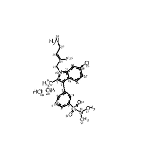 Cc1c(-c2cncc(S(=O)(=O)N(C)C)c2)c2ccc(Cl)cc2n1CC(F)=CCN.Cl.Cl